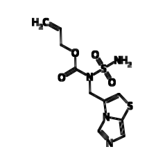 C=CCOC(=O)N(Cc1csc2cncn12)S(N)(=O)=O